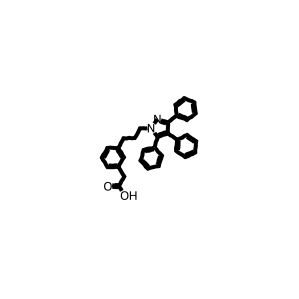 O=C(O)Cc1cccc(CCCn2nc(-c3ccccc3)c(-c3ccccc3)c2-c2ccccc2)c1